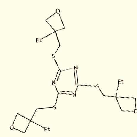 CCC1(CSc2nc(SCC3(CC)COC3)nc(SCC3(CC)COC3)n2)COC1